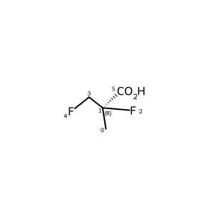 C[C@](F)(CF)C(=O)O